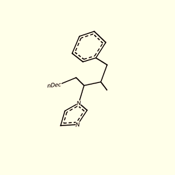 CCCCCCCCCCCC(C(C)Cc1ccccc1)n1ccnc1